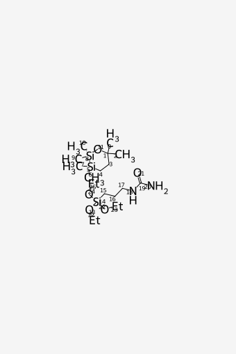 CC1(C)CC[Si](C)(C)[Si](C)(C)O1.CCO[Si](CCCNC(N)=O)(OCC)OCC